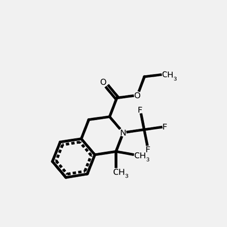 CCOC(=O)C1Cc2ccccc2C(C)(C)N1C(F)(F)F